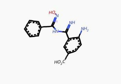 N=C(N/C(=N/O)c1ccccc1)c1cc(C(=O)O)ccc1N